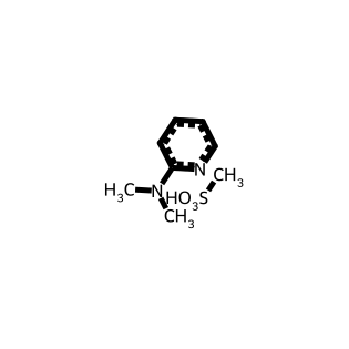 CN(C)c1ccccn1.CS(=O)(=O)O